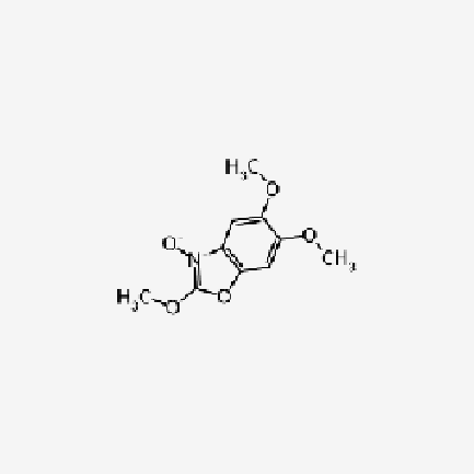 COc1cc2oc(OC)[n+]([O-])c2cc1OC